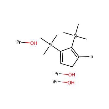 CC(C)O.CC(C)O.CC(C)O.C[Si](C)(C)C1=CC[C]([Ti])=C1[Si](C)(C)C